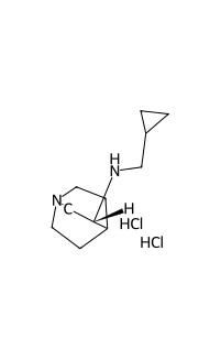 C1CC1CN[C@H]1CN2CCC1CC2.Cl.Cl